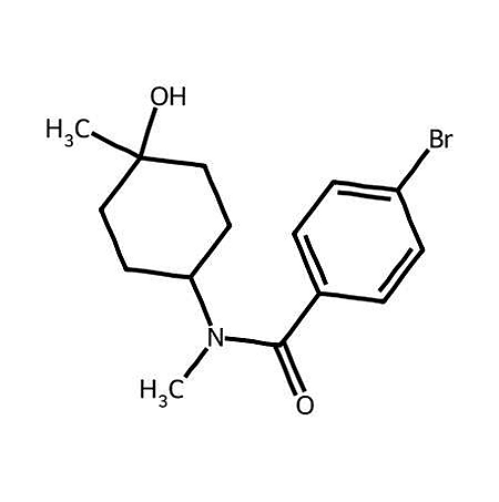 CN(C(=O)c1ccc(Br)cc1)C1CCC(C)(O)CC1